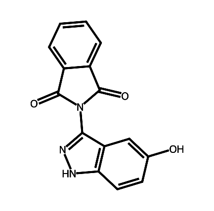 O=C1c2ccccc2C(=O)N1c1n[nH]c2ccc(O)cc12